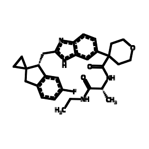 CCNC(=O)[C@@H](C)NC(=O)C1(c2ccc3nc(C[C@@H]4c5cc(F)ccc5CC45CC5)[nH]c3c2)CCOCC1